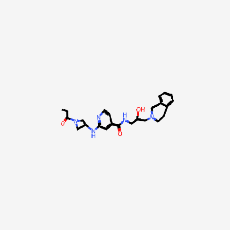 CCC(=O)N1CC(Nc2cc(C(=O)NCC(O)CN3CCc4ccccc4C3)ccn2)C1